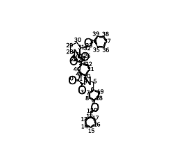 O=C1C(=O)N(Cc2ccc(OCc3ccccc3)cc2)c2ccc(S(=O)(=O)N3CCCC3COc3ccccc3)cc21